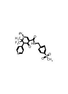 CC(C)N1C=C(C(=O)NCc2ccc(S(C)(=O)=O)cc2)C(=O)C(c2ccncc2)C1(C)C(F)(F)F